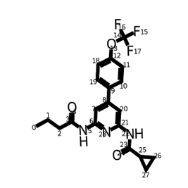 CCCC(=O)Nc1cc(-c2ccc(OC(F)(F)F)cc2)cc(NC(=O)C2CC2)n1